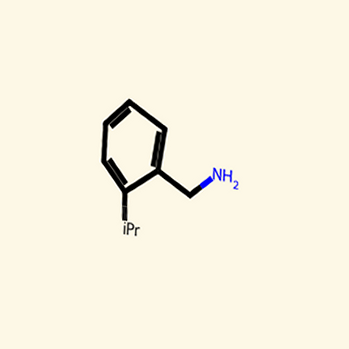 CC(C)c1ccccc1CN